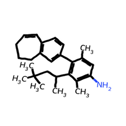 Cc1cc(N)c(C)c(C(C)CC(C)(C)C)c1-c1ccc2c(c1)CCCC=C2